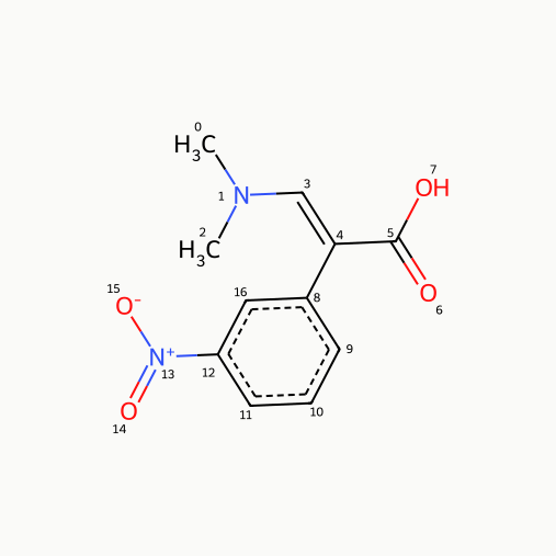 CN(C)/C=C(/C(=O)O)c1cccc([N+](=O)[O-])c1